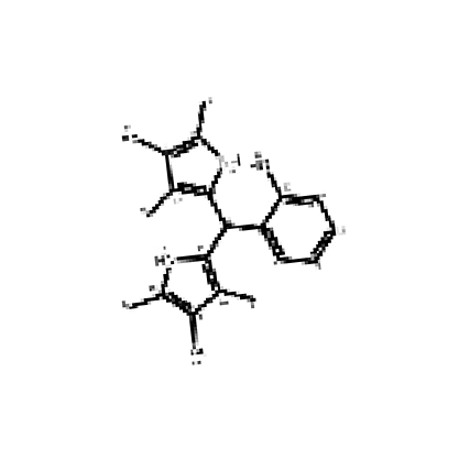 CC(=O)c1c(C)[nH]c(C(c2ccccc2O)c2[nH]c(C)c(C(C)=O)c2C)c1C